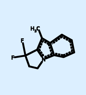 Cc1c2n(c3ccccc13)CCC2(F)F